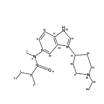 CCC(C)C(=O)N(C)c1ccc2[nH]cc(C3CCN(CC)CC3)c2c1